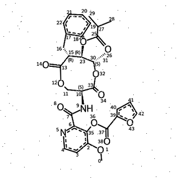 COc1ccnc(C(=O)N[C@H]2COC(=O)[C@H](Cc3ccccc3)[C@@H](OC(=O)C(C)C)[C@H](C)OC2=O)c1OC(=O)c1ccco1